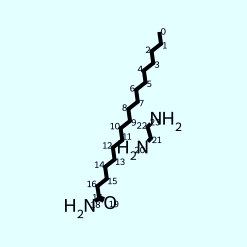 CCCCCCCCCCCCCCCCCC(N)=O.NCCN